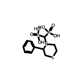 O=P(O)(O)C(N1CCSCC1c1ccccc1)P(=O)(O)O